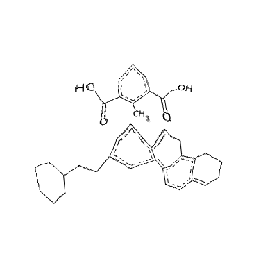 C1=c2ccc3c(c2CCC1)CC=c1ccc(CCC2CCCCC2)cc1=3.Cc1c(C(=O)O)cccc1C(=O)O